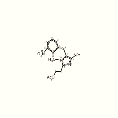 CC(=O)OCCc1nc(C(C)C)c(Sc2cccc([N+](=O)[O-])c2)n1C